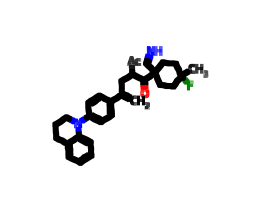 C=C(CC(C(C)=O)C(=O)C1(C=N)CCC(C)(F)CC1)c1ccc(N2CCCc3ccccc32)cc1